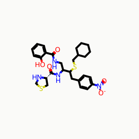 O=C(NCC(NC(=O)[C@@H]1CSCN1)C(Cc1ccc([N+](=O)[O-])cc1)SCC1CCCCC1)c1ccccc1O